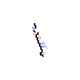 C=C/C=C\N(C)CCO/C(C=C)=C/C(=C/C=C/C(=N)/C=C(N)/C=C/c1ccc(C)o1)OC